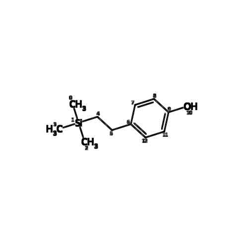 C[Si](C)(C)CCc1ccc(O)cc1